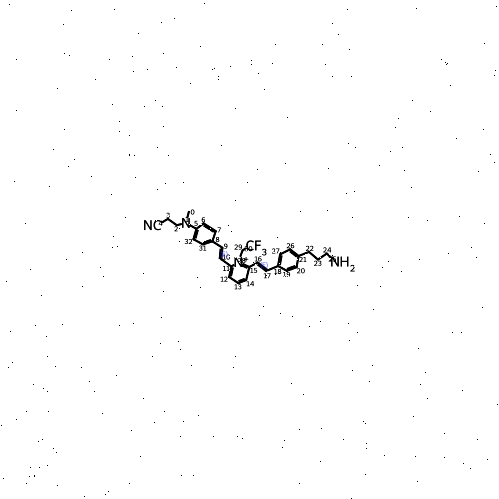 CN(CCC#N)c1ccc(/C=C/c2cccc(/C=C/c3ccc(CCCN)cc3)[n+]2CC(F)(F)F)cc1